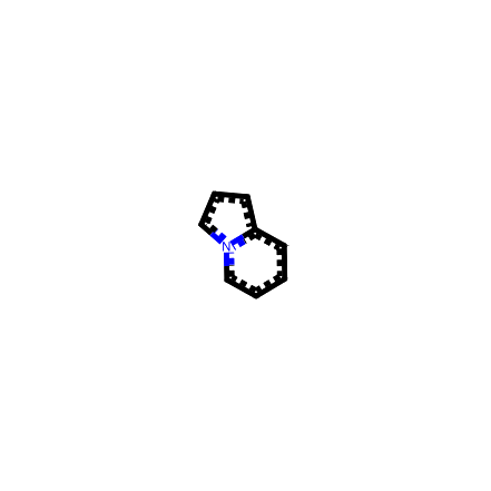 [c]1cccn2cccc12